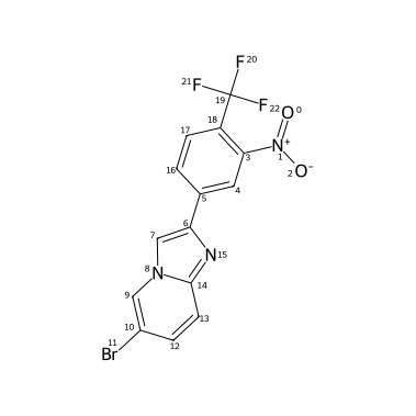 O=[N+]([O-])c1cc(-c2cn3cc(Br)ccc3n2)ccc1C(F)(F)F